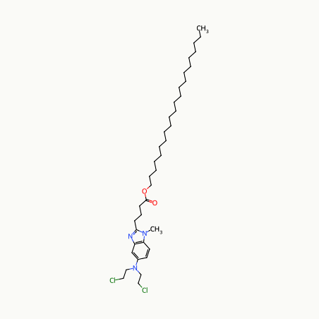 CCCCCCCCCCCCCCCCCCCCCCOC(=O)CCCc1nc2cc(N(CCCl)CCCl)ccc2n1C